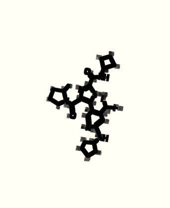 CC1CCCN1C(=O)c1nc(C(=O)NC2CCC2)sc1-c1cnc(NC2CCCC2)cc1C(F)F